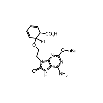 CCCCOc1nc(N)c2[nH]c(=O)n(CCOC3(CC)C=CC=CC3C(=O)O)c2n1